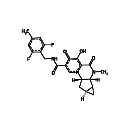 Cc1cc(F)c(CNC(=O)c2cn3c(c(O)c2=O)C(=O)N(C)[C@@H]2C4C[C@H]4C[C@@H]23)c(F)c1